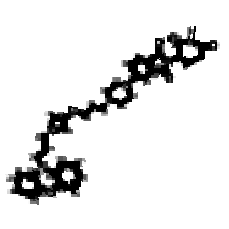 O=C1CCC(N2C(=O)c3ccc(N4CCN(CCCOC5CN(CCCN6c7ccccc7Sc7ccccc76)C5)CC4)cc3C2=O)C(=O)N1